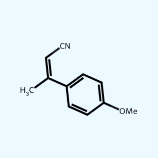 COc1ccc(/C(C)=C\C#N)cc1